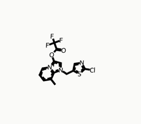 Cc1ccc[n+]2c(OC(=O)C(F)(F)F)cn(Cc3cnc(Cl)s3)c12